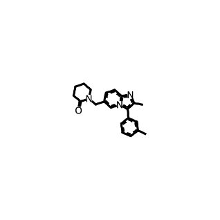 Cc1cccc(-c2c(C)nc3ccc(CN4CCCCC4=O)cn23)c1